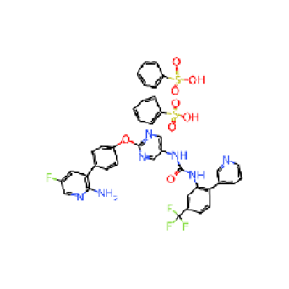 Nc1ncc(F)cc1-c1ccc(Oc2ncc(NC(=O)Nc3cc(C(F)(F)F)ccc3-c3cccnc3)cn2)cc1.O=S(=O)(O)c1ccccc1.O=S(=O)(O)c1ccccc1